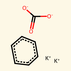 O=C([O-])[O-].[K+].[K+].c1ccccc1